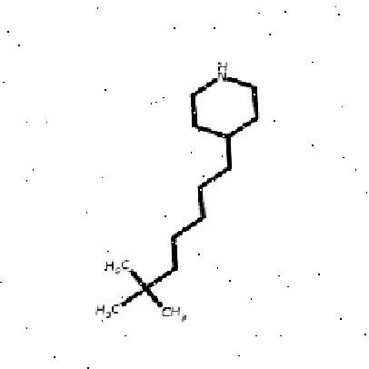 CC(C)(C)CCCCCC1CCNCC1